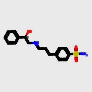 NS(=O)(=O)c1ccc(CCCNC[C@@H](O)c2ccccc2)cc1